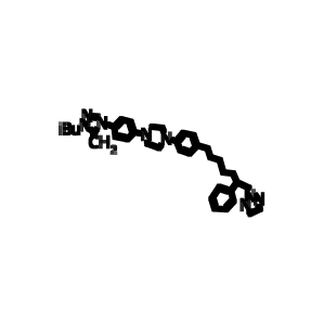 C=C1N(c2ccc(N3CCN(c4ccc(CCCCCC(Cn5nccn5)c5ccccc5)cc4)CC3)cc2)C=NN1C(C)CC